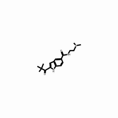 CN(C)CCNC(=O)c1ccc2[nH]c(C(=O)C(C)(C)C)cc2c1